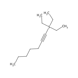 CCCCCC#CS(CC)(CC)CC